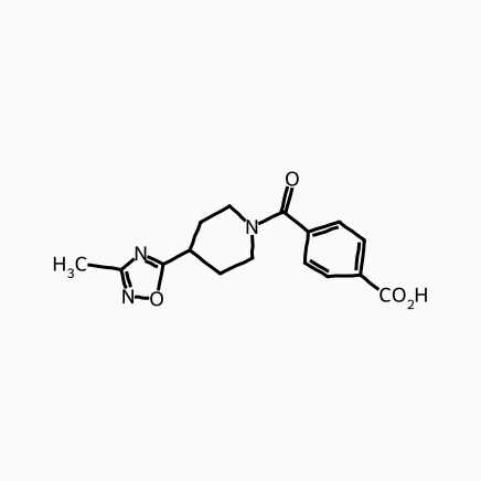 Cc1noc(C2CCN(C(=O)c3ccc(C(=O)O)cc3)CC2)n1